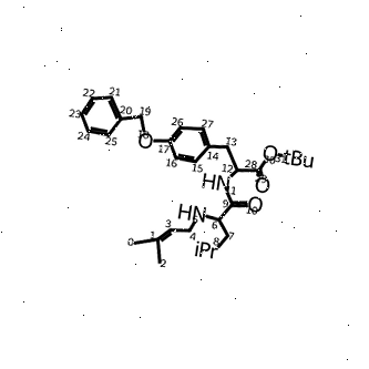 CC(C)=CCNC(CC(C)C)C(=O)NC(Cc1ccc(OCc2ccccc2)cc1)C(=O)OC(C)(C)C